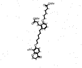 CCCc1c(OCCCCCCc2cccc(OCCCCCC(=O)OC)c2CCC(=O)OC)ccc2c1OCCC2=O